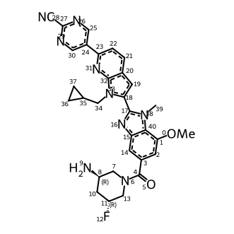 COc1cc(C(=O)N2C[C@H](N)C[C@@H](F)C2)cc2nc(-c3cc4ccc(-c5cnc(C#N)nc5)nc4n3CC3CC3)n(C)c12